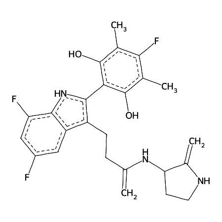 C=C(CCc1c(-c2c(O)c(C)c(F)c(C)c2O)[nH]c2c(F)cc(F)cc12)NC1CCNC1=C